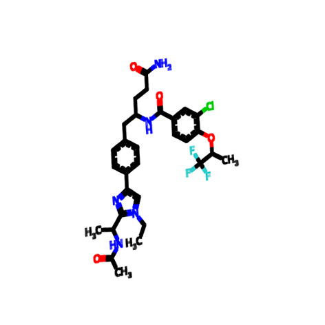 CCn1cc(-c2ccc(CC(CCC(N)=O)NC(=O)c3ccc(OC(C)C(F)(F)F)c(Cl)c3)cc2)nc1C(C)NC(C)=O